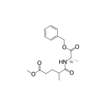 COC(=O)CCC(C)C(=O)N[C@@H](C)C(=O)OCc1ccccc1